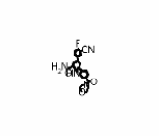 N#Cc1cc(-c2cc(C(N)=O)c3[nH]c4cc(C(=O)N5CCOCC5)ccc4c3c2)ccc1F